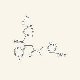 COc1cc(CN(C)C(=O)Cc2c(-c3cccc(OC(C)C)c3)[nH]c3ccc(F)cc23)on1